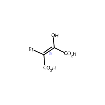 CC/C(C(=O)O)=C(\O)C(=O)O